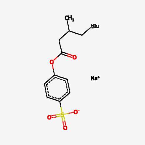 CC(CC(=O)Oc1ccc(S(=O)(=O)[O-])cc1)CC(C)(C)C.[Na+]